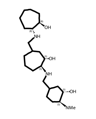 CN[C@H]1CCC(CN[C@H]2CCCC(CN[C@@H]3CCCCC[C@H]3O)C[C@@H]2O)C[C@@H]1O